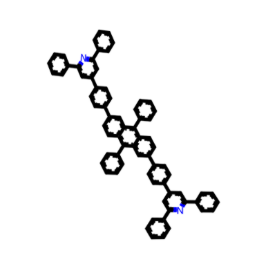 c1ccc(-c2cc(-c3ccc(-c4ccc5c(-c6ccccc6)c6cc(-c7ccc(-c8cc(-c9ccccc9)nc(-c9ccccc9)c8)cc7)ccc6c(-c6ccccc6)c5c4)cc3)cc(-c3ccccc3)n2)cc1